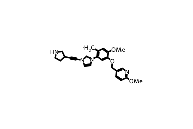 [CH2]c1cc(OC)c(OCc2ccc(OC)nc2)cc1N1C=CN(C#CC2CCNC2)C1